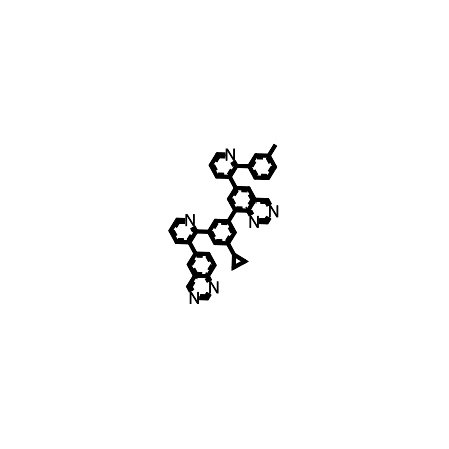 Cc1cccc(-c2ncccc2-c2cc(-c3cc(-c4ncccc4-c4ccc5ncncc5c4)cc(C4CC4)c3)c3ncncc3c2)c1